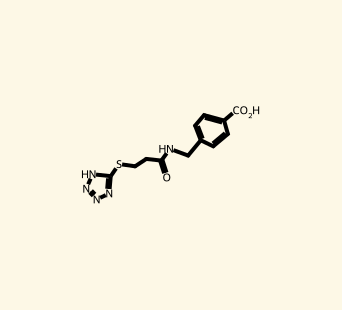 O=C(CCSc1nnn[nH]1)NCc1ccc(C(=O)O)cc1